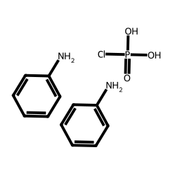 Nc1ccccc1.Nc1ccccc1.O=P(O)(O)Cl